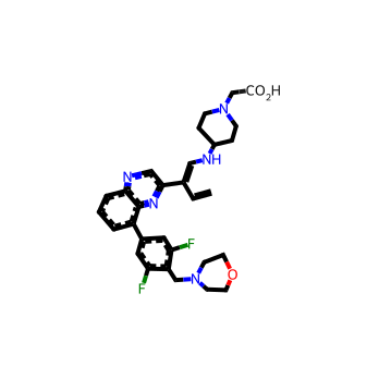 C=C/C(=C\NC1CCN(CC(=O)O)CC1)c1cnc2cccc(-c3cc(F)c(CN4CCOCC4)c(F)c3)c2n1